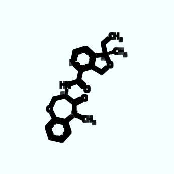 CC[C@@]1(C)OCc2c1ccnc2C(=O)N[C@H]1COc2ccccc2N(C)C1=O